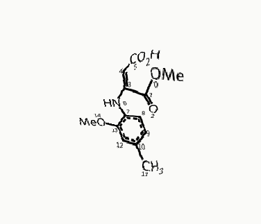 COC(=O)C(=CC(=O)O)Nc1ccc(C)cc1OC